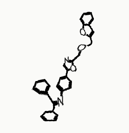 c1ccc(C(=Nc2ccc(-c3cnc(COCc4cc5ccccc5o4)o3)cc2)c2ccccc2)cc1